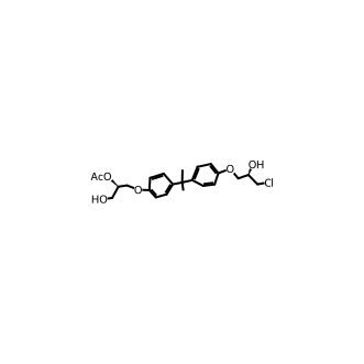 CC(=O)O[C@H](CO)COc1ccc(C(C)(C)c2ccc(OC[C@@H](O)CCl)cc2)cc1